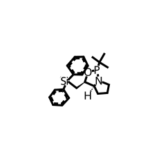 CC(C)(C)P1O[C@H](C[Si](C)(c2ccccc2)c2ccccc2)[C@@H]2CCCN21